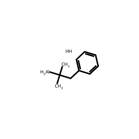 C[C](C)([AlH2])Cc1ccccc1.[HH]